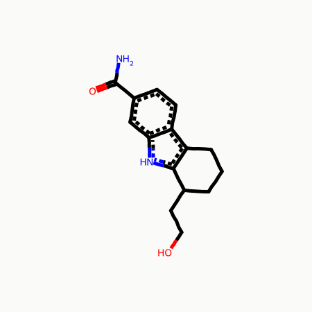 NC(=O)c1ccc2c3c([nH]c2c1)C(CCO)CCC3